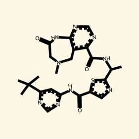 CC(NC(=O)c1ncnc2c1CN(C)CC(=O)N2)c1ncc(C(=O)Nc2cc(C(C)(C)C)ncn2)s1